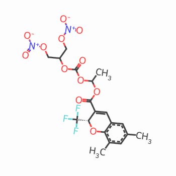 Cc1cc(C)c2c(c1)C=C(C(=O)OC(C)OC(=O)OC(CO[N+](=O)[O-])CO[N+](=O)[O-])[C@@H](C(F)(F)F)O2